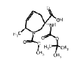 COC(=O)N1C[C@](NC(=O)OC(C)(C)C)(C(=O)O)CC=C[C@@H]1C